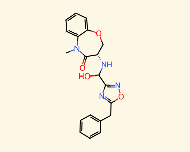 CN1C(=O)[C@@H](NC(O)c2noc(Cc3ccccc3)n2)COc2ccccc21